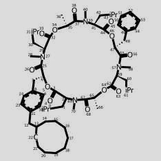 CC(C)CC1C(=O)O[C@H](Cc2ccc(CC3CCCCCCCCC3)cc2)C(=O)N(C)[C@@H](CC(C)C)C(=O)O[C@H](C)C(=O)N(C)[C@@H](CC(C)C)C(=O)O[C@H](Cc2ccccc2)C(=O)N(C)[C@@H](CC(C)C)C(=O)O[C@H](C)C(=O)N1C